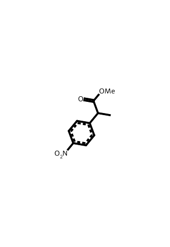 COC(=O)C(C)c1ccc([N+](=O)[O-])cc1